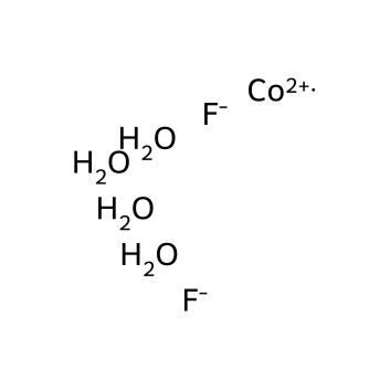 O.O.O.O.[Co+2].[F-].[F-]